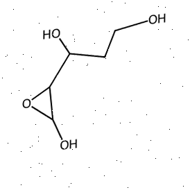 OCCC(O)C1OC1O